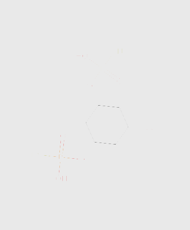 O=P(O)(S)O[C@@H]1C[C@H](O)C[C@H](OP(=O)(O)S)C1